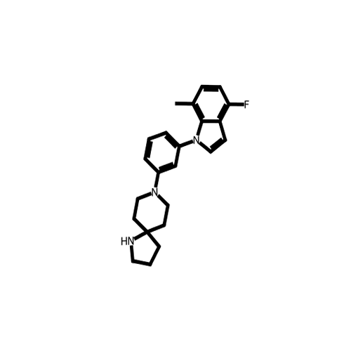 Cc1ccc(F)c2ccn(-c3cccc(N4CCC5(CCCN5)CC4)c3)c12